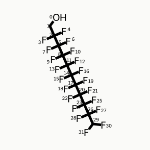 OCC(F)(F)C(F)(F)C(F)(F)C(F)(F)C(F)(F)C(F)(F)C(F)(F)C(F)(F)C(F)(F)C(F)F